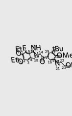 CCOc1cc2c(c(F)c1OCC)C(=N)N(CC(=O)c1cc(N(C)CCO)c(OC)c(C(C)(C)C)c1)C2